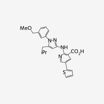 COCc1cccc(-n2nc(Nc3ncc(-c4cccs4)cc3C(=O)O)cc2CC(C)C)c1